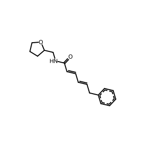 O=C(/C=C/C=C/Cc1ccccc1)NCC1CCCO1